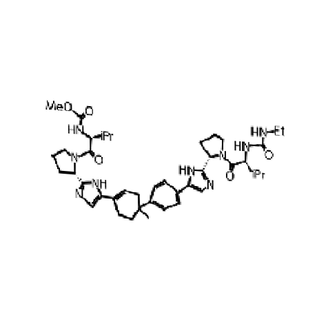 CCNC(=O)N[C@H](C(=O)N1CCC[C@H]1c1ncc(-c2ccc(C3(C)CC=C(c4cnc([C@@H]5CCCN5C(=O)[C@@H](NC(=O)OC)C(C)C)[nH]4)CC3)cc2)[nH]1)C(C)C